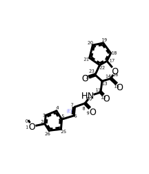 COc1ccc(/C=C/C(=O)NC(=O)C2C(=O)Oc3ccccc3C2=O)cc1